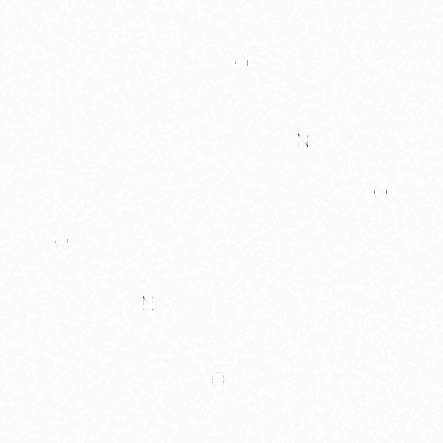 Cc1c(C)c(N2C(=O)C=CC2=O)c(C)c(C)c1N1C(=O)C=CC1=O